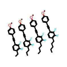 CCCCCc1ccc(C#Cc2ccc(OC)cc2)c(F)c1F.CCCCc1ccc(C#Cc2ccc(OC)cc2)c(F)c1F.CCCc1ccc(C#Cc2ccc(OC)cc2)c(F)c1F.CCc1ccc(C#Cc2ccc(OC)cc2)c(F)c1F